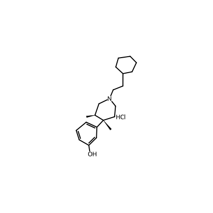 C[C@H]1CN(CCC2CCCCC2)CC[C@]1(C)c1cccc(O)c1.Cl